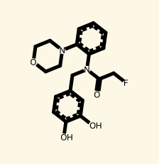 O=C(CF)N(Cc1ccc(O)c(O)c1)c1ccccc1N1CCOCC1